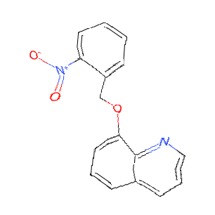 O=[N+]([O-])c1ccccc1COc1cccc2cccnc12